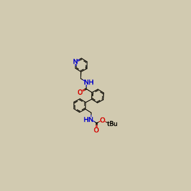 CC(C)(C)OC(=O)NCc1ccccc1-c1ccccc1C(=O)NCc1cccnc1